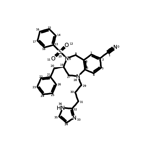 N#Cc1ccc2c(c1)CN(S(=O)(=O)c1ccccc1)[C@H](Cc1ccccc1)CN2CCCc1ncc[nH]1